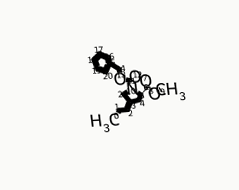 CCC=C1C[C@@H](C(=O)OC)N(C(=O)OCc2ccccc2)C1